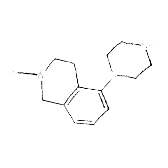 CCN1CCc2c(cccc2N2CCNCC2)C1